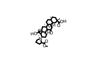 COC(=O)C1CCCN1[C@H]1CC[C@@]2(C)[C@@H](CC[C@]3(C)[C@@H]2C(=O)C=C2[C@@H]4C[C@@](C)(C(=O)O)CC[C@]4(C)CC[C@]23C)[C@]1(C)C(=O)O